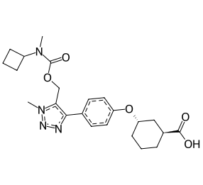 CN(C(=O)OCc1c(-c2ccc(O[C@H]3CCC[C@H](C(=O)O)C3)cc2)nnn1C)C1CCC1